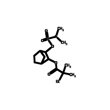 CCC(C)(C)C(=O)OC1C2CCC(C2)C1OS(=O)(=O)N(C)C